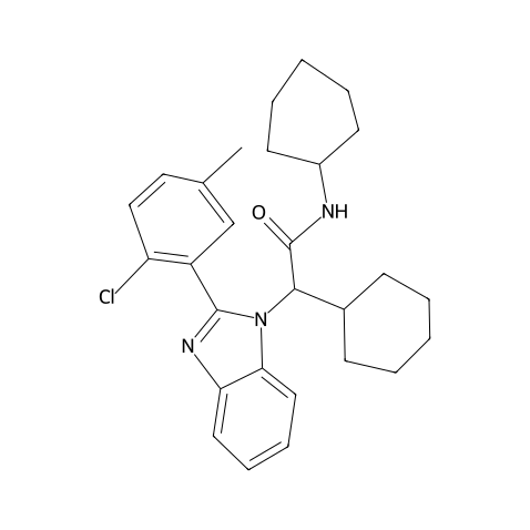 Cc1ccc(Cl)c(-c2nc3ccccc3n2C(C(=O)NC2CCCCC2)C2CCCCC2)c1